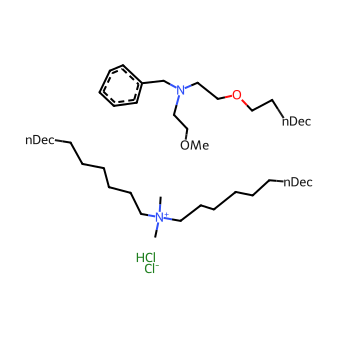 CCCCCCCCCCCCCCCC[N+](C)(C)CCCCCCCCCCCCCCCC.CCCCCCCCCCCCOCCN(CCOC)Cc1ccccc1.Cl.[Cl-]